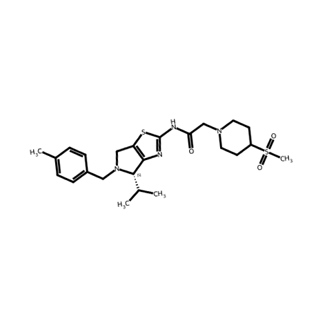 Cc1ccc(CN2Cc3sc(NC(=O)CN4CCC(S(C)(=O)=O)CC4)nc3[C@@H]2C(C)C)cc1